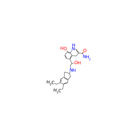 CCc1cc2c(cc1CC)CC(NCC(O)c1ccc(O)c3c1CC(C(N)=O)=CN3)C2